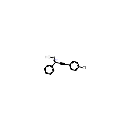 O/N=C(/C#Cc1ccc(Cl)cc1)c1ccccc1